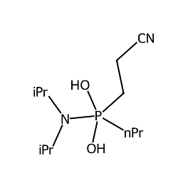 CCCP(O)(O)(CCC#N)N(C(C)C)C(C)C